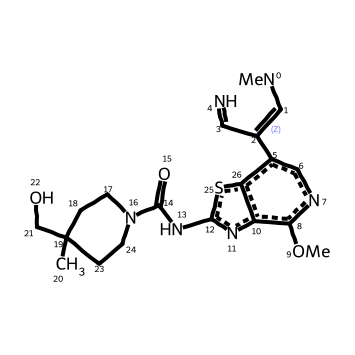 CN/C=C(\C=N)c1cnc(OC)c2nc(NC(=O)N3CCC(C)(CO)CC3)sc12